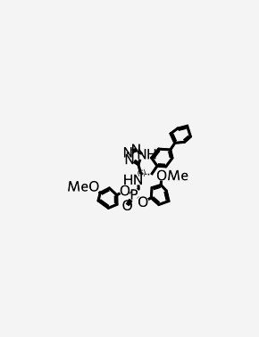 COc1cccc(OP(=O)(CN[C@@H](Cc2ccc(-c3ccccc3)cc2)c2nnn[nH]2)Oc2cccc(OC)c2)c1